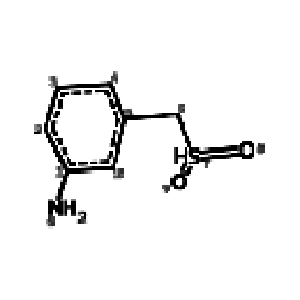 Nc1cccc(C[SH](=O)=O)c1